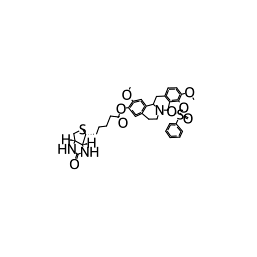 COc1cc2c(cc1OC(=O)CCCC[C@H]1SC[C@H]3NC(=O)N[C@H]31)CCN1Cc3c(ccc(OC)c3OS(=O)(=O)c3ccccc3)CC21